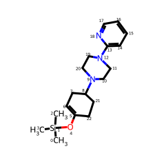 C[Si](C)(C)OC1=CCC(N2CCN(c3ccccn3)CC2)CC1